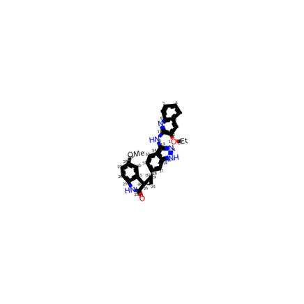 CCOc1cc2ccccc2nc1Nc1n[nH]c2cc([C@@H]3C[C@@]34C(=O)Nc3ccc(OC)cc34)ccc12